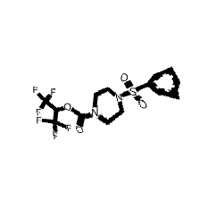 O=C(OC(C(F)(F)F)C(F)(F)F)N1CCN(S(=O)(=O)c2ccccc2)CC1